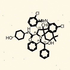 CNc1cc(Cl)ccc1C1(C=O)[C@@H](c2cccc(Cl)c2F)[C@H](C(=O)N[C@H]2CC[C@H](O)CC2)N([C@H](c2ccccc2)[C@@H](O)c2ccccc2)C12CCC(C)(C)CC2